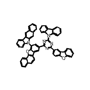 c1ccc2cc3c(cc2c1)c1ccccc1n3-c1cc(-c2nc(-c3ccc4oc5ccccc5c4c3)nc(-n3c4ccccc4c4ccccc43)n2)cc2c1oc1c3ccccc3ccc21